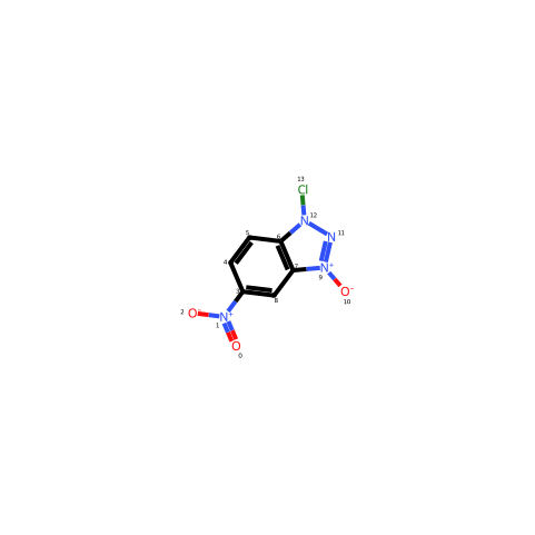 O=[N+]([O-])c1ccc2c(c1)[n+]([O-])nn2Cl